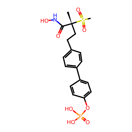 C[C@@](CCc1ccc(-c2ccc(OP(=O)(O)O)cc2)cc1)(C(=O)NO)S(C)(=O)=O